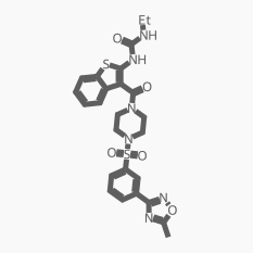 CCNC(=O)Nc1sc2ccccc2c1C(=O)N1CCN(S(=O)(=O)c2cccc(-c3noc(C)n3)c2)CC1